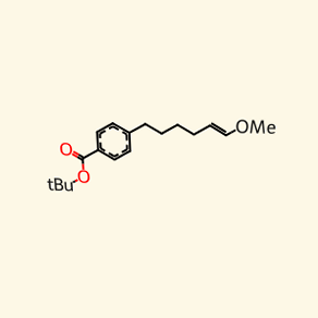 COC=CCCCCc1ccc(C(=O)OC(C)(C)C)cc1